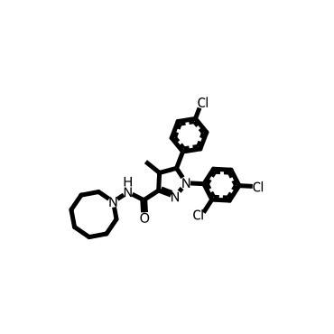 CC1C(C(=O)NN2CCCCCCC2)=NN(c2ccc(Cl)cc2Cl)C1c1ccc(Cl)cc1